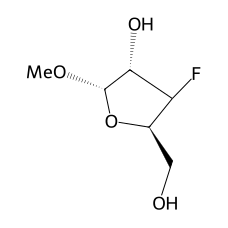 CO[C@H]1O[C@H](CO)C(F)[C@H]1O